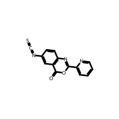 O=c1oc(-c2ccccn2)nc2ccc(N=C=S)cc12